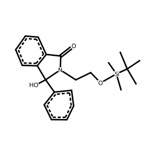 CC(C)(C)[Si](C)(C)OCCN1C(=O)c2ccccc2C1(O)c1ccccc1